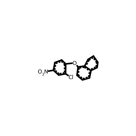 O=[N+]([O-])c1ccc(Oc2cccc3ccccc23)c(Cl)c1